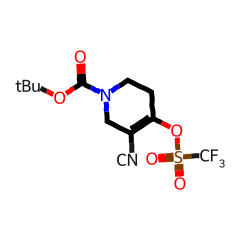 CC(C)(C)OC(=O)N1CCC(OS(=O)(=O)C(F)(F)F)=C(C#N)C1